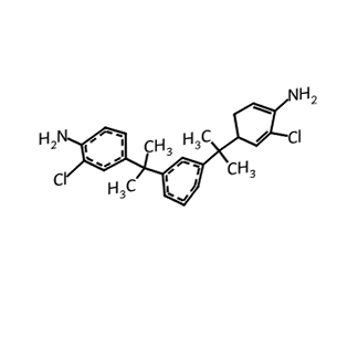 CC(C)(c1cccc(C(C)(C)C2C=C(Cl)C(N)=CC2)c1)c1ccc(N)c(Cl)c1